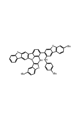 CC(C)(C)c1ccc(Nc2cc3c(cc2-c2ccc4c5cc6sc7ccccc7c6cc5n5c4c2Bc2sc4ccc(C(C)(C)C)cc4c2-5)oc2cc(C(C)(C)C)ccc23)cc1